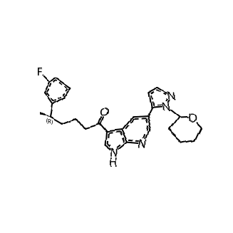 C[C@H](CCCC(=O)c1c[nH]c2ncc(-c3ccnn3C3CCCCO3)cc12)c1cccc(F)c1